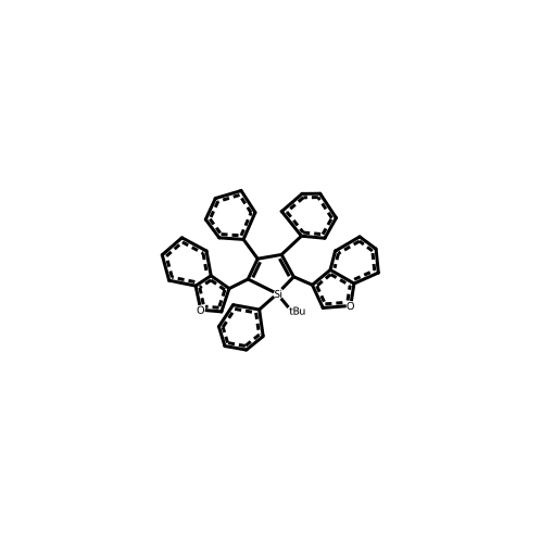 CC(C)(C)[Si]1(c2ccccc2)C(c2coc3ccccc23)=C(c2ccccc2)C(c2ccccc2)=C1c1coc2ccccc12